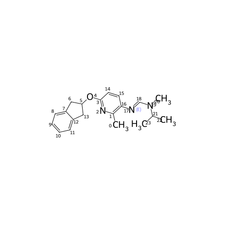 Cc1nc(OC2Cc3ccccc3C2)ccc1/N=C/N(C)C(C)C